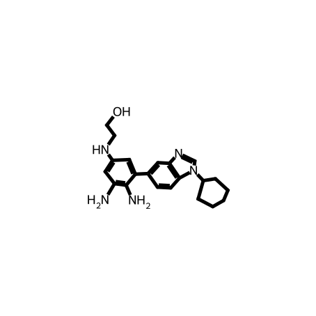 Nc1cc(NCCO)cc(-c2ccc3c(c2)ncn3C2CCCCC2)c1N